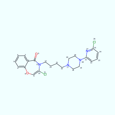 O=C1c2ccccc2OC=C(Cl)N1CCCCN1CCN(c2cccc(Cl)n2)CC1